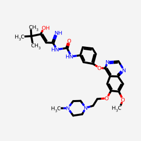 COc1cc2ncnc(Oc3cccc(NC(=O)NC(=N)/C=C(\O)C(C)(C)C)c3)c2cc1OCCN1CCN(C)CC1